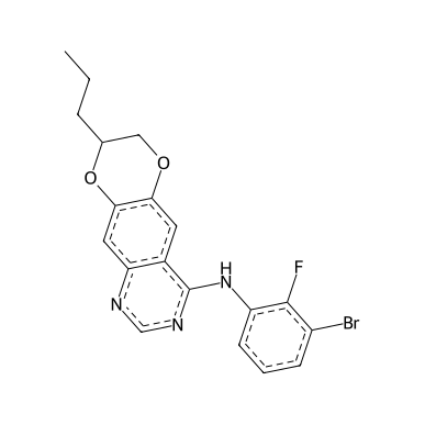 CCCC1COc2cc3c(Nc4cccc(Br)c4F)ncnc3cc2O1